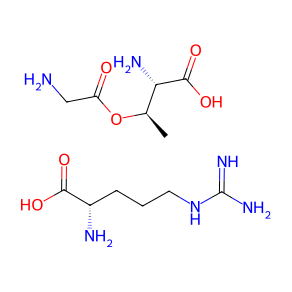 C[C@@H](OC(=O)CN)[C@H](N)C(=O)O.N=C(N)NCCC[C@H](N)C(=O)O